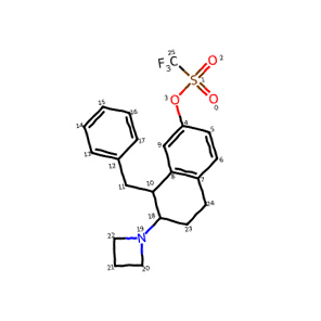 O=S(=O)(Oc1ccc2c(c1)C(Cc1ccccc1)C(N1CCC1)CC2)C(F)(F)F